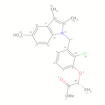 COC(=O)[C@@H](C)Oc1cccc(Cn2c(C)c(C)c3cc(C(=O)O)ccc32)c1Cl